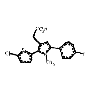 Cn1c(-c2ccc(F)cc2)cc(CC(=O)O)c1-c1ccc(Cl)s1